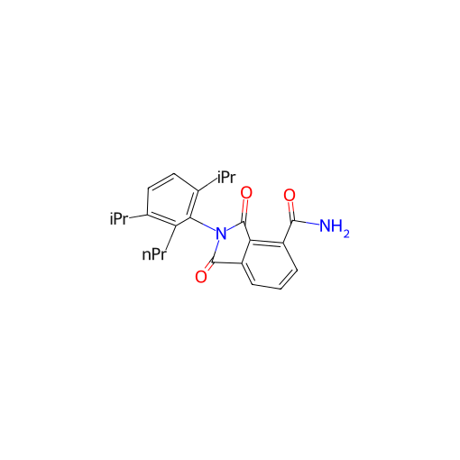 CCCc1c(C(C)C)ccc(C(C)C)c1N1C(=O)c2cccc(C(N)=O)c2C1=O